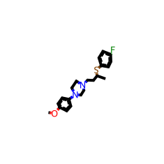 COc1ccc(N2CCN(CCC(C)Sc3ccc(F)cc3)CC2)cc1